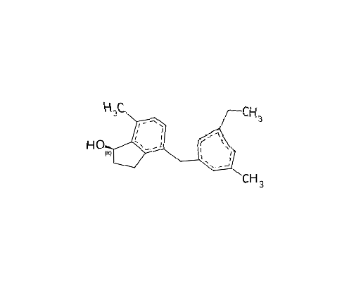 CCc1cc(C)cc(Cc2ccc(C)c3c2CC[C@H]3O)c1